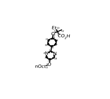 CCCCCCCCOc1cnc(-c2ccc(OC(C)(CC)C(=O)O)cc2)nc1